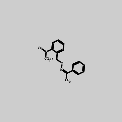 CCN(C(=O)O)c1ccccc1CON=C(C)c1ccccc1